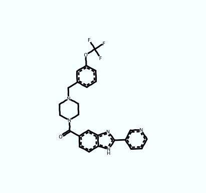 O=C(c1ccc2[nH]c(-c3cccnc3)nc2c1)N1CCN(Cc2cccc(OC(F)(F)F)c2)CC1